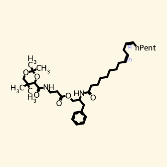 CCCCC/C=C\C/C=C\CCCCCCCC(=O)NC(COC(=O)CCNC(=O)C1OC(C)(C)OCC1(C)C)Cc1ccccc1